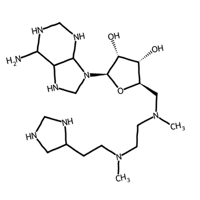 CN(CCC1CNCN1)CCN(C)C[C@H]1O[C@@H](N2CNC3C(N)NCNC32)[C@H](O)[C@@H]1O